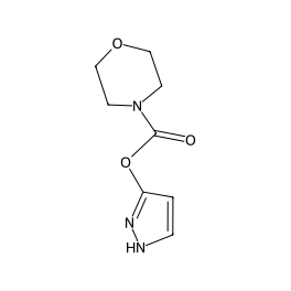 O=C(Oc1cc[nH]n1)N1CCOCC1